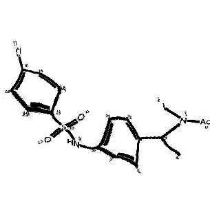 CC(=O)N(I)C(C)c1ccc(NS(=O)(=O)c2ccc(Cl)cc2)cc1